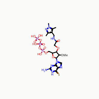 COC1C(OCC(=O)NCc2c(C)nn(C)c2C)C(COP(=O)(O)OP(=O)(O)OP(=O)(O)O)OC1n1cnc2c(=S)[nH]c(N)nc21